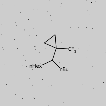 CCCCCCC(CCCC)C1(C(F)(F)F)CC1